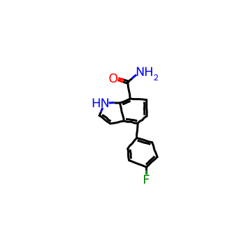 NC(=O)c1ccc(-c2ccc(F)cc2)c2cc[nH]c12